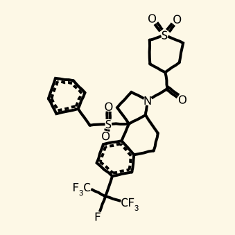 O=C(C1CCS(=O)(=O)CC1)N1CCC2(S(=O)(=O)Cc3ccccc3)c3ccc(C(F)(C(F)(F)F)C(F)(F)F)cc3CCC12